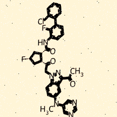 CC(=O)c1nn(CC(=O)[C@@H]2C[C@H](F)C[C@@H]2C(=O)Nc2cccc(-c3ccccc3Cl)c2F)c2ccc(N(C)c3cncnc3)cc12